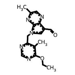 CCOc1ncnc(Cn2cc(C=O)c3ncc(C)nc32)c1C